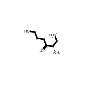 C[C@@H](CN)C(=O)CCCO